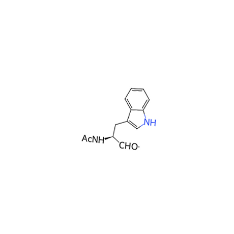 CC(=O)N[C@H]([C]=O)Cc1c[nH]c2ccccc12